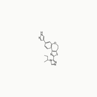 CCC(C)n1cnnc1-c1nc2c(s1)CCOc1cc(-c3cn[nH]c3)ccc1-2